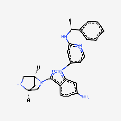 C[C@H](Nc1cc(-n2nc(N3C[C@@H]4C[C@H]3CN4)c3ccc(N)cc32)ccn1)c1ccccc1